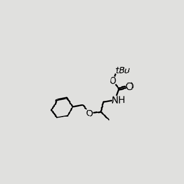 CC(CNC(=O)OC(C)(C)C)OCC1CCCCC1